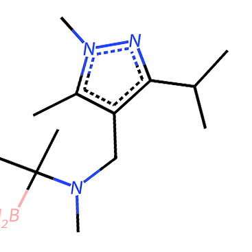 BC(C)(C)N(C)Cc1c(C(C)C)nn(C)c1C